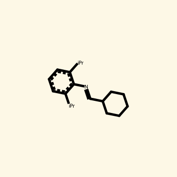 CC(C)c1cccc(C(C)C)c1/N=C/C1CCCCC1